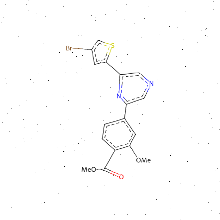 COC(=O)c1ccc(-c2cncc(-c3cc(Br)cs3)n2)cc1OC